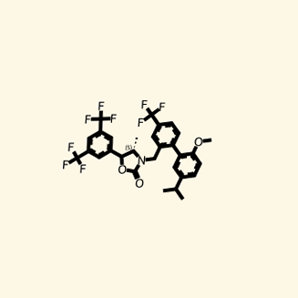 COc1ccc(C(C)C)cc1-c1ccc(C(F)(F)F)cc1CN1C(=O)OC(c2cc(C(F)(F)F)cc(C(F)(F)F)c2)[C@@H]1C